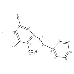 Cc1c(F)c(F)cc(OCc2ccccc2)c1C(=O)O